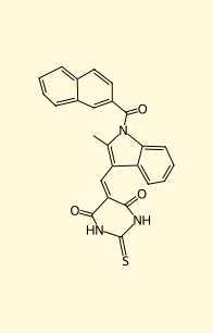 Cc1c(C=C2C(=O)NC(=S)NC2=O)c2ccccc2n1C(=O)c1ccc2ccccc2c1